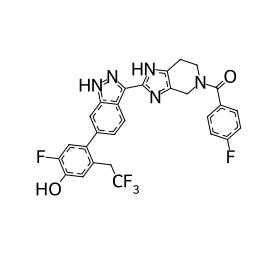 O=C(c1ccc(F)cc1)N1CCc2[nH]c(-c3n[nH]c4cc(-c5cc(F)c(O)cc5CC(F)(F)F)ccc34)nc2C1